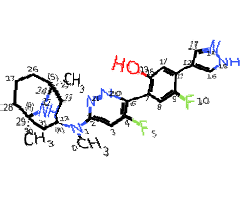 CN(c1cc(F)c(-c2cc(F)c(-c3cn[nH]c3)cc2O)nn1)[C@@H]1C[C@]2(C)CCC[C@](C)(C1)N2